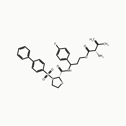 C=C(C)[C@H](N)C(=O)OCCC(NC(=O)[C@@H]1SCCN1S(=O)(=O)c1ccc(-c2ccccc2)cc1)c1ccc(F)cc1